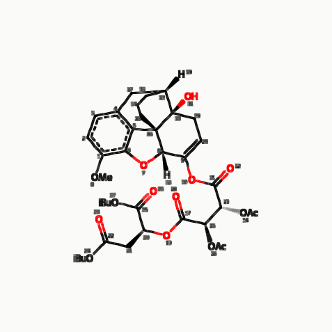 COc1ccc2c3c1O[C@H]1C(OC(=O)[C@H](OC(C)=O)[C@@H](OC(C)=O)C(=O)O[C@@H](CC(=O)OCC(C)C)C(=O)OCC(C)C)=CC[C@@]4(O)[C@H](CCC[C@]314)C2